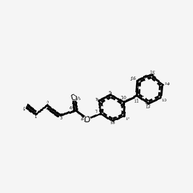 C=CC=CC(=O)Oc1ccc(-c2ccccc2)cc1